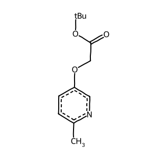 Cc1ccc(OCC(=O)OC(C)(C)C)cn1